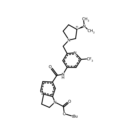 CN(C)[C@@H]1CCN(Cc2cc(NC(=O)c3ccc4c(c3)N(C(=O)OC(C)(C)C)CC4)cc(C(F)(F)F)n2)C1